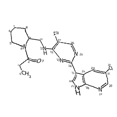 CCC(=O)N1CCCCC1CNc1nc(-c2c[nH]c3ncc(Cl)cc23)ncc1F